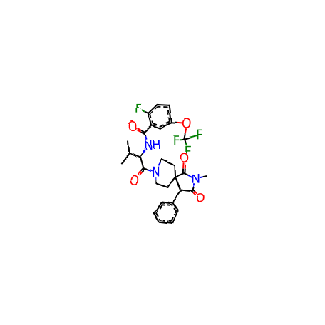 CC(C)[C@@H](NC(=O)c1cc(OC(F)(F)F)ccc1F)C(=O)N1CCC2(CC1)C(=O)N(C)C(=O)C2c1ccccc1